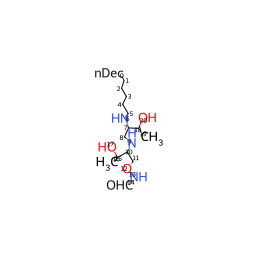 CCCCCCCCCCCCCCCNC(CNC(CONC=O)C(C)O)C(C)O